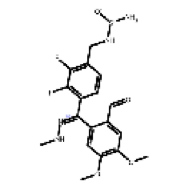 CN/N=C(\c1cc(OC)c(OC)cc1C=O)c1ccc(CN[S+](N)[O-])c(F)c1F